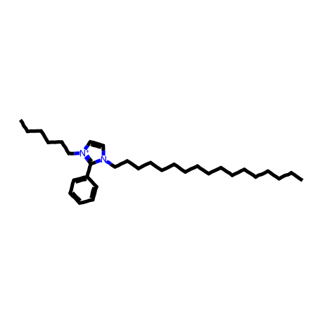 CCCCCCCCCCCCCCCCCn1cc[n+](CCCCCC)c1-c1ccccc1